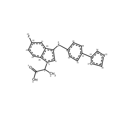 CC(C(=O)O)n1cc(Sc2ccc(-c3cnco3)cc2)c2cc(F)ccc21